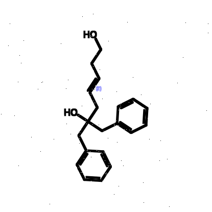 OCC/C=C/CC(O)(Cc1ccccc1)Cc1ccccc1